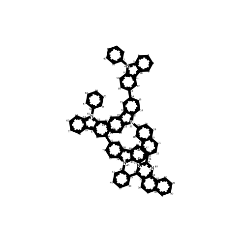 c1ccc(-n2c3ccccc3c3cc(-c4ccc5c(c4)c4ccccc4n5-c4ccc5ccc(-c6nc(-c7ccccc7-n7c8ccccc8c8cc(-c9ccc%10c(c9)c9ccccc9n%10-c9ccccc9)ccc87)c7ccc8ccccc8c7n6)cc5c4)ccc32)cc1